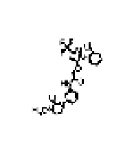 CN1CCN(c2cccc(NC(=O)COc3cc(C(F)(F)F)nn3-c3ccccc3Cl)c2)C1=O